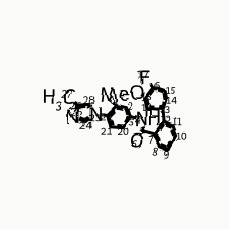 COc1cc(NC(=O)c2ccccc2-c2ccc(F)cc2)ccc1-n1cnc(C)c1